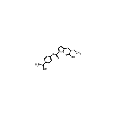 CC[C@@H](Cc1ccc(C(=O)Oc2ccc(C(=N)N)cc2)o1)C(=O)O